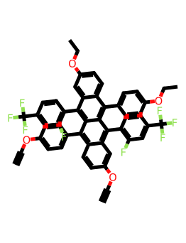 C#COc1ccc(-c2c3ccc(OC#C)cc3c(-c3ccc(C(F)(F)F)cc3F)c3c(-c4ccc(OCC)cc4)c4ccc(OCC)cc4c(-c4ccc(C(F)(F)F)cc4F)c23)cc1